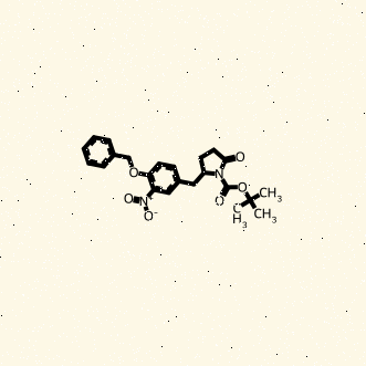 CC(C)(C)OC(=O)N1C(=O)CCC1Cc1ccc(OCc2ccccc2)c([N+](=O)[O-])c1